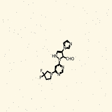 O=CC1C(n2ccnc2)=CNN1c1cc(N2CCC(F)(F)C2)ncn1